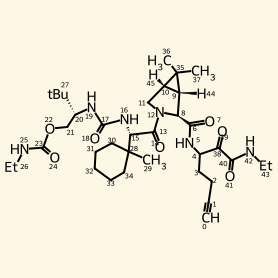 C#CCCC(NC(=O)[C@@H]1[C@@H]2[C@H](CN1C(=O)[C@@H](NC(=O)N[C@H](COC(=O)NCC)C(C)(C)C)C1(C)CCCCC1)C2(C)C)C(=O)C(=O)NCC